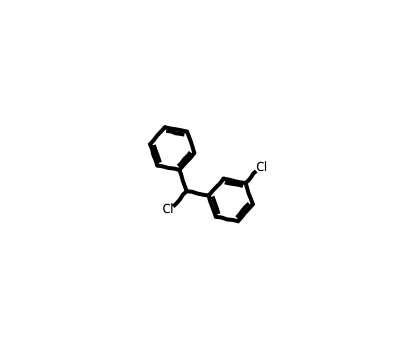 Clc1cccc(C(Cl)c2ccccc2)c1